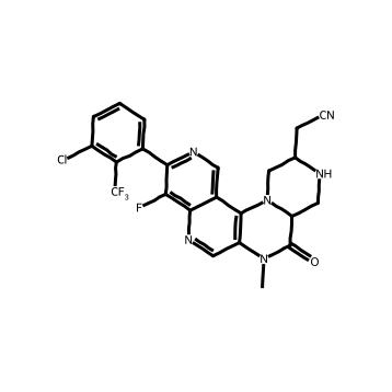 CN1C(=O)C2CNC(CC#N)CN2c2c1cnc1c(F)c(-c3cccc(Cl)c3C(F)(F)F)ncc21